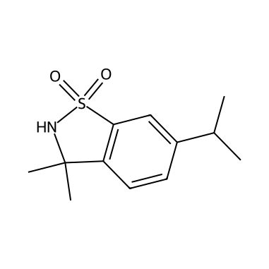 CC(C)c1ccc2c(c1)S(=O)(=O)NC2(C)C